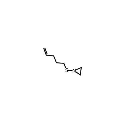 C=CCCCSN1CC1